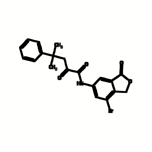 CC(C)(CC(=O)C(=O)Nc1cc(Br)c2c(c1)C(=O)OC2)c1ccccc1